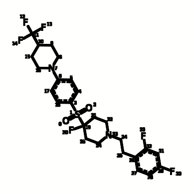 O=S(=O)(c1ccc(N2CCC(C(F)(F)F)CC2)cc1)C1(F)CCN(CCc2ccc(F)cc2F)CC1